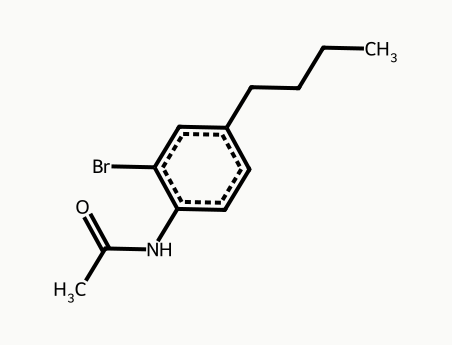 CCCCc1ccc(NC(C)=O)c(Br)c1